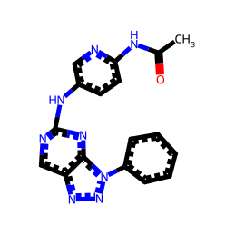 CC(=O)Nc1ccc(Nc2ncc3nnn(-c4ccccc4)c3n2)cn1